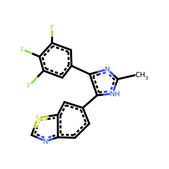 Cc1nc(-c2cc(F)c(F)c(F)c2)c(-c2ccc3ncsc3c2)[nH]1